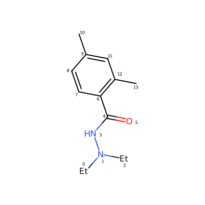 CCN(CC)NC(=O)c1ccc(C)cc1C